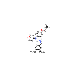 COc1ccc(CN2Cc3cc(OCC4CC4)ccc3N(C3CCOCC3)C2)cc1OC